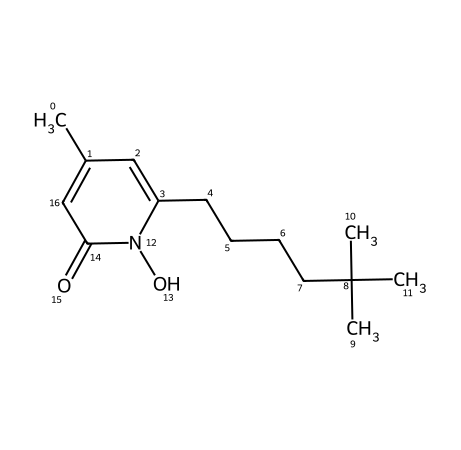 Cc1cc(CCCCC(C)(C)C)n(O)c(=O)c1